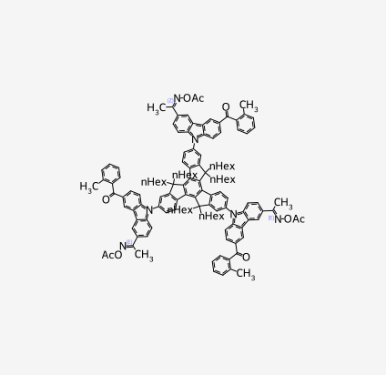 CCCCCCC1(CCCCCC)c2cc(-n3c4ccc(C(=O)c5ccccc5C)cc4c4cc(/C(C)=N\OC(C)=O)ccc43)ccc2-c2c1c1c(c3c2C(CCCCCC)(CCCCCC)c2cc(-n4c5ccc(C(=O)c6ccccc6C)cc5c5cc(/C(C)=N/OC(C)=O)ccc54)ccc2-3)C(CCCCCC)(CCCCCC)c2cc(-n3c4ccc(C(=O)c5ccccc5C)cc4c4cc(/C(C)=N/OC(C)=O)ccc43)ccc2-1